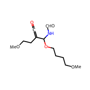 COCCCCOC(NC=O)C(=C=O)CCOC